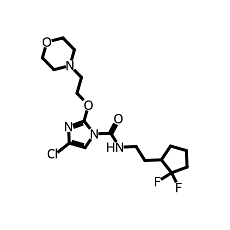 O=C(NCCC1CCCC1(F)F)n1cc(Cl)nc1OCCN1CCOCC1